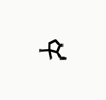 CS[C@@H]1NCCC1(F)F